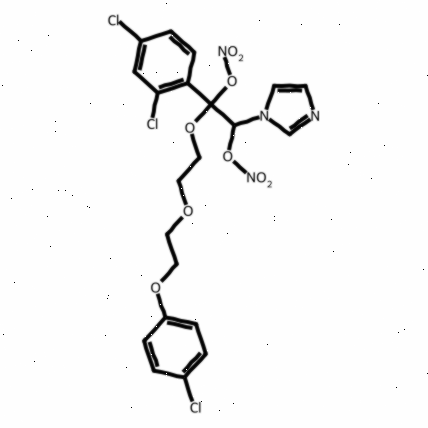 O=[N+]([O-])OC(n1ccnc1)C(OCCOCCOc1ccc(Cl)cc1)(O[N+](=O)[O-])c1ccc(Cl)cc1Cl